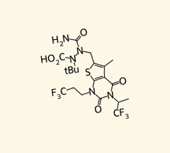 Cc1c(CN(C(N)=O)N(C(=O)O)C(C)(C)C)sc2c1c(=O)n(C(C)C(F)(F)F)c(=O)n2CCC(F)(F)F